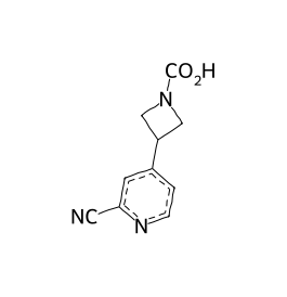 N#Cc1cc(C2CN(C(=O)O)C2)ccn1